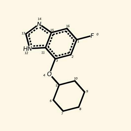 Fc1cc(OC2CCCCC2)c2[nH][c]nc2c1